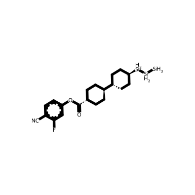 N#Cc1ccc(OC(=O)[C@H]2CC[C@H]([C@H]3CC[C@H]([SiH2][SiH2][SiH3])CC3)CC2)cc1F